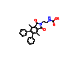 Cc1c2c(c(C)c(-c3ccccc3)c1-c1ccccc1)C(=O)N(CCNC(=O)O)C2=O